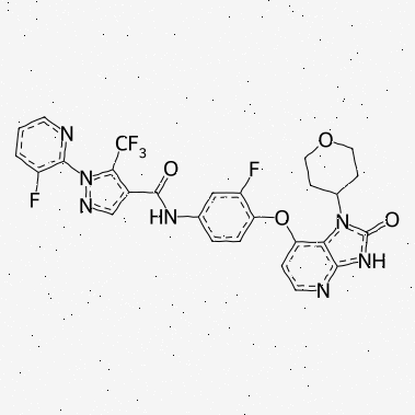 O=C(Nc1ccc(Oc2ccnc3[nH]c(=O)n(C4CCOCC4)c23)c(F)c1)c1cnn(-c2ncccc2F)c1C(F)(F)F